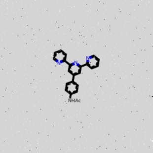 CC(=O)Nc1ccc(-c2cc(-c3ccccn3)nc(-c3ccccn3)c2)cc1